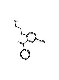 O=C(c1ccccc1)c1cc([N+](=O)[O-])ccc1SCCO